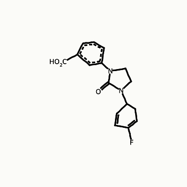 O=C(O)c1cccc(N2CCN(C3C=CC(F)=CC3)C2=O)c1